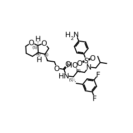 CC(C)CN(C[C@@H](O)[C@H](Cc1cc(F)cc(F)c1)NC(=O)OCC[C@@H]1CO[C@@H]2OCCC[C@H]12)S(=O)(=O)c1ccc(N)cc1